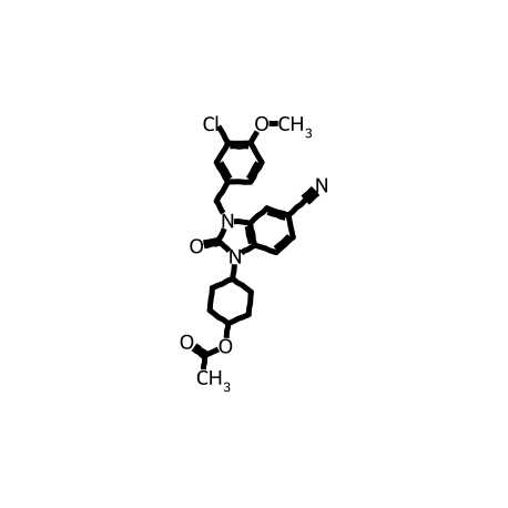 COc1ccc(Cn2c(=O)n(C3CCC(OC(C)=O)CC3)c3ccc(C#N)cc32)cc1Cl